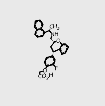 C[C@@H](NC[C@H]1C[C@@H](c2ccc(OCC(=O)O)c(F)c2)c2ccccc2O1)c1cccc2ccccc12